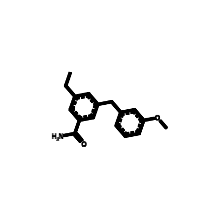 CCc1cc(Cc2cccc(OC)c2)cc(C(N)=O)c1